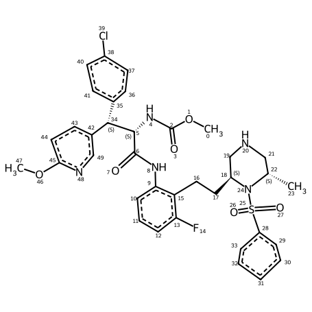 COC(=O)N[C@H](C(=O)Nc1cccc(F)c1CC[C@H]1CNC[C@H](C)N1S(=O)(=O)c1ccccc1)[C@@H](c1ccc(Cl)cc1)c1ccc(OC)nc1